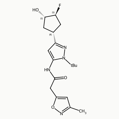 Cc1cc(CC(=O)Nc2cc([C@@H]3C[C@H](O)[C@@H](F)C3)nn2C(C)(C)C)on1